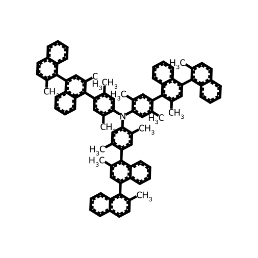 Cc1cc(N(c2cc(C)c(-c3c(C)cc(-c4c(C)ccc5ccccc45)c4ccccc34)cc2C)c2cc(C)c(-c3c(C)cc(-c4c(C)ccc5ccccc45)c4ccccc34)cc2C)c(C)cc1-c1c(C)cc(-c2c(C)ccc3ccccc23)c2ccccc12